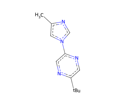 Cc1cn(-c2cnc(C(C)(C)C)cn2)cn1